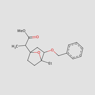 CCC12CCC(C(C)C(=O)OC)(CC1OCc1ccccc1)O2